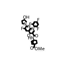 COC(=O)C12CCC(NC(=O)c3cn(-c4c(F)cc(F)cc4F)c4nc(N5CC[C@H](O)C5)c(F)cc4c3=O)(CC1)C2